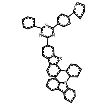 c1ccc(-c2ccc(-c3nc(-c4ccccc4)nc(-c4ccc5c(c4)sc4c(-c6ccccc6-n6c7ccccc7c7ccccc76)cccc45)n3)cc2)cc1